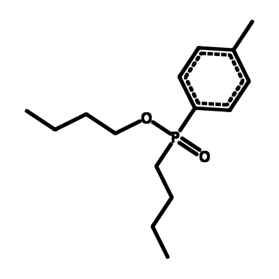 CCCCOP(=O)(CCCC)c1ccc(C)cc1